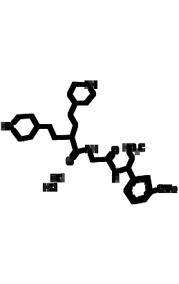 COc1cccc(C(CC(=O)O)NC(=O)CNC(=O)C(CCC2CCNCC2)CCC2CCNCC2)c1.Cl.Cl